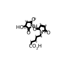 O=C(O)CCCCN1C(=O)C=CC1=O.O=C1CC(O)C(=O)N1